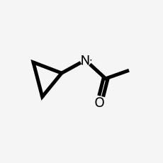 CC(=O)[N]C1CC1